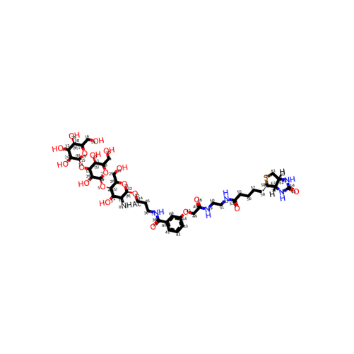 CC(=O)NC1C(O)[C@H](O[C@@H]2OC(CO)[C@H](O)C(O[C@H]3OC(CO)[C@H](O)C(O)C3O)C2O)C(CO)O[C@H]1OCCCNC(=O)c1cccc(OCC(=O)NCCNC(=O)CCCC[C@@H]2SC[C@@H]3NC(=O)N[C@@H]32)c1